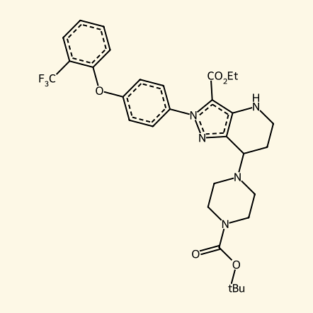 CCOC(=O)c1c2c(nn1-c1ccc(Oc3ccccc3C(F)(F)F)cc1)C(N1CCN(C(=O)OC(C)(C)C)CC1)CCN2